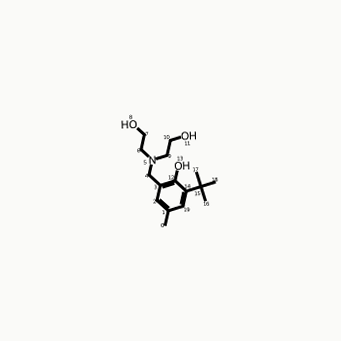 Cc1cc(CN(CCO)CCO)c(O)c(C(C)(C)C)c1